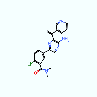 C=C(c1cccnc1)c1nc(-c2ccc(Cl)c(C(=O)N(C)C)c2)cnc1N